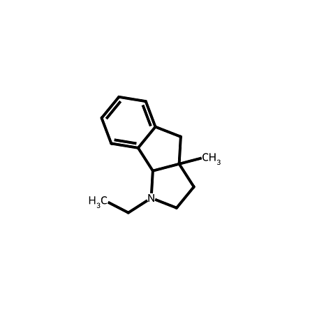 CCN1CCC2(C)Cc3ccccc3C12